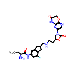 COC[C@@H](N)C(=O)Nc1cc(F)c2c(c1)CC(CNCCC1CN(c3cnc4c(n3)NC(=O)CO4)C(=O)O1)C2